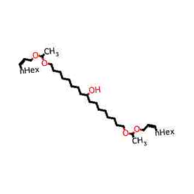 CCCCCC/C=C\COC(C)OCCCCCCCCC(O)CCCCCCCCOC(C)OC/C=C\CCCCCC